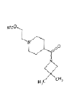 COCCN1CCC(C(=O)N2CC(C)(C)C2)CC1